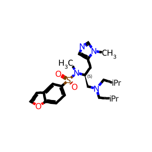 CC(C)CN(CC(C)C)C[C@H](Cc1cncn1C)N(C)S(=O)(=O)c1ccc2occc2c1